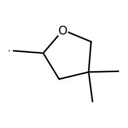 [CH2]C1CC(C)(C)CO1